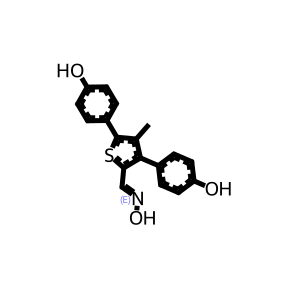 Cc1c(-c2ccc(O)cc2)sc(/C=N/O)c1-c1ccc(O)cc1